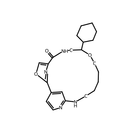 O=C1NCC(C2CCCCC2)OCCCCCNc2cc(ccn2)-c2nc1co2